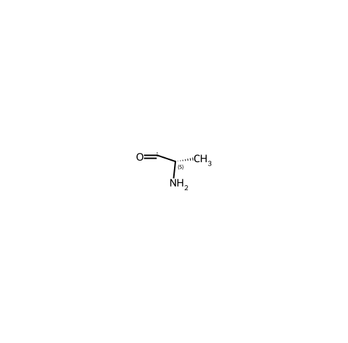 C[C@H](N)[C]=O